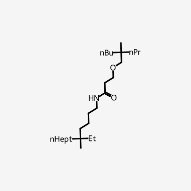 CCCCCCCC(C)(CC)CCCCNC(=O)CCOCC(C)(CCC)CCCC